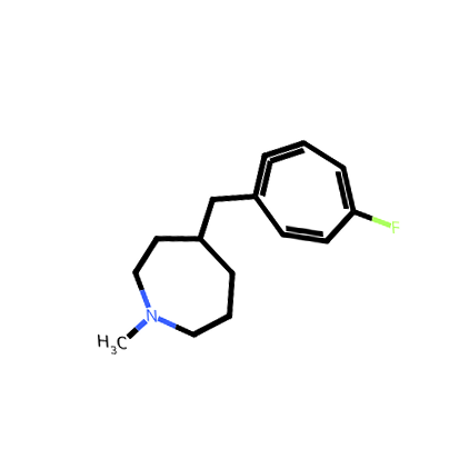 CN1CCCC(CC2=C=CC=C(F)C=C2)CC1